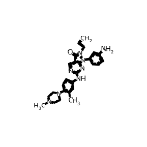 C=CCn1c(=O)c2cnc(Nc3ccc(N4CCN(C)CC4)c(C)c3)nc2n1-c1cccc(N)c1